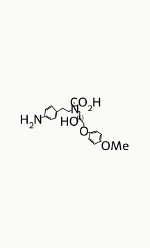 COc1ccc(OC[C@@H](O)CN(CCc2ccc(N)cc2)C(=O)O)cc1